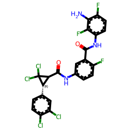 Nc1c(F)ccc(NC(=O)c2cc(NC(=O)C3[C@H](c4ccc(Cl)c(Cl)c4)C3(Cl)Cl)ccc2F)c1F